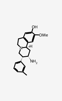 COc1cc2c(cc1O)CCN1C[C@@H](c3cccc(C)c3)[C@@H](N)C[C@H]21